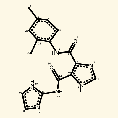 Cc1ccc(NC(=O)c2nc[nH]c2C(=O)Nc2ncc[nH]2)c(C)c1